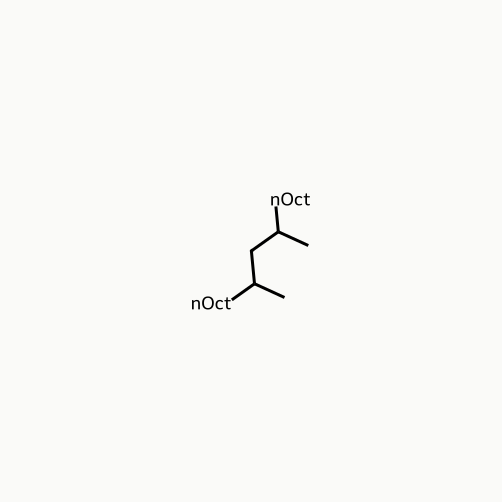 CCCCCCCCC(C)CC(C)CCCCCCCC